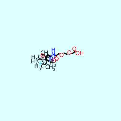 COc1cc(NC(=O)COCCOCC(=O)O)[n+]([O-])cc1[Si](F)(C(C)(C)C)C(C)(C)C